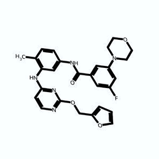 Cc1ccc(NC(=O)c2cc(F)cc(N3CCOCC3)c2)cc1Nc1ccnc(OCc2ccco2)n1